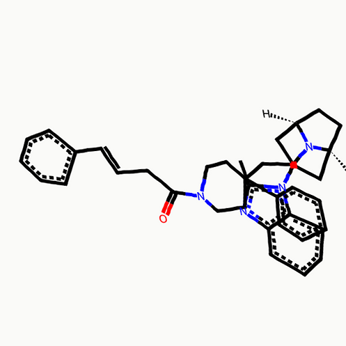 Cc1nc2ccccc2n1C1C[C@H]2CC[C@@H](C1)N2CCC1(c2ccccc2)CCN(C(=O)C/C=C/c2ccccc2)CC1